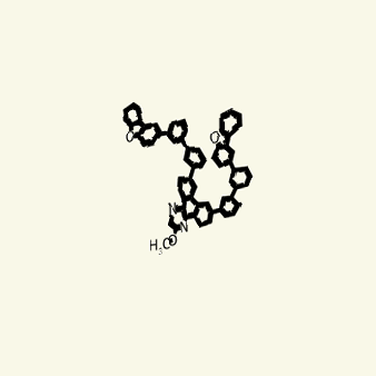 COc1cnc2c3ccc(-c4cccc(-c5cccc(-c6ccc7oc8ccccc8c7c6)c5)c4)cc3c3cc(-c4cccc(-c5cccc(-c6ccc7oc8ccccc8c7c6)c5)c4)ccc3c2n1